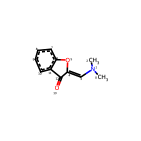 CN(C)/C=C1\Oc2ccccc2C1=O